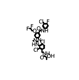 CC(O)C(=O)NCc1ccc(Cl)c(Nc2nc3cc(C(=O)Nc4ccc(F)c(Cl)c4)c(OCC(F)F)cc3n2C)c1Cl